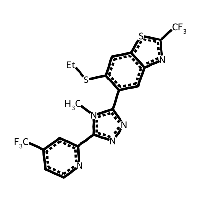 CCSc1cc2sc(C(F)(F)F)nc2cc1-c1nnc(-c2cc(C(F)(F)F)ccn2)n1C